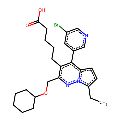 CCc1ccc2c(-c3cncc(Br)c3)c(CCCCC(=O)O)c(COC3CCCCC3)nn12